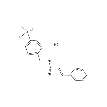 Cl.N=C(/C=C/c1ccccc1)NCc1ccc(C(F)(F)F)cc1